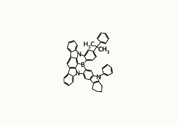 CC(C)(c1ccccc1)c1ccc2c(c1)-n1c3ccccc3c3cc4c5ccccc5n5c4c(c31)B2c1cc2c(cc1-5)c1c(n2-c2ccccc2)CCCC1